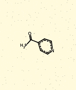 O=C(P)c1ccncc1